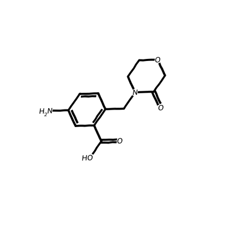 Nc1ccc(CN2CCOCC2=O)c(C(=O)O)c1